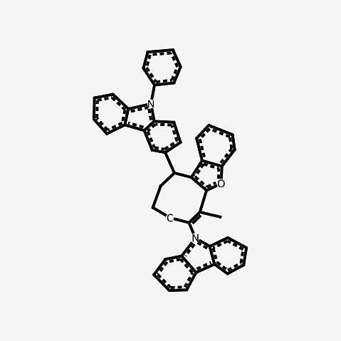 C/C1=C(\n2c3ccccc3c3ccccc32)CCCC(c2ccc3c(c2)c2ccccc2n3-c2ccccc2)c2c1oc1ccccc21